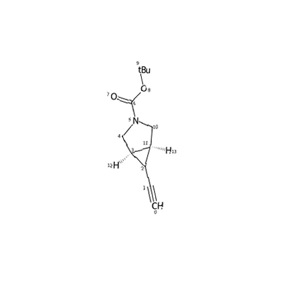 C#CC1[C@H]2CN(C(=O)OC(C)(C)C)C[C@@H]12